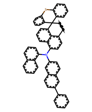 c1ccc(-c2ccc3cc(N(c4cccc5ccccc45)c4ccc5c6c(cccc46)C4(c6ccccc6Sc6ccccc64)c4ccccc4-5)ccc3c2)cc1